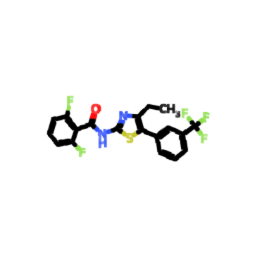 CCc1nc(NC(=O)c2c(F)cccc2F)sc1-c1cccc(C(F)(F)F)c1